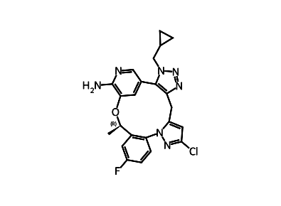 C[C@H]1Oc2cc(cnc2N)-c2c(nnn2CC2CC2)Cc2cc(Cl)nn2-c2ccc(F)cc21